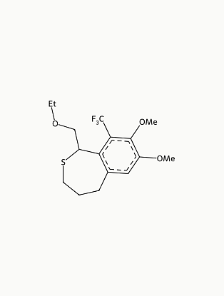 [CH2]COCC1SCCCc2cc(OC)c(OC)c(C(F)(F)F)c21